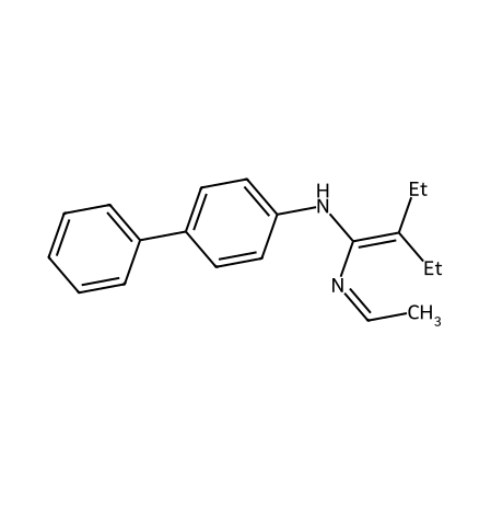 C/C=N\C(Nc1ccc(-c2ccccc2)cc1)=C(CC)CC